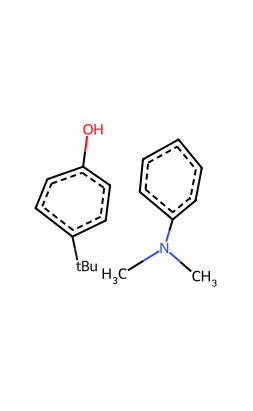 CC(C)(C)c1ccc(O)cc1.CN(C)c1ccccc1